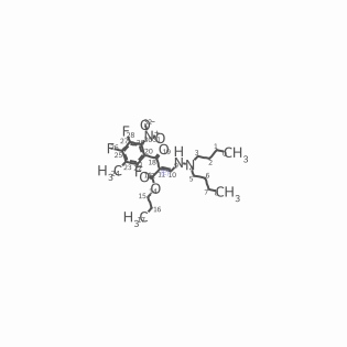 CCCCN(CCCC)N/C=C(/C(=O)OCCC)C(=O)c1c(F)c(C)c(F)c(F)c1[N+](=O)[O-]